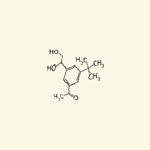 CC(=O)c1cc(C(O)CO)cc(C(C)(C)C)c1